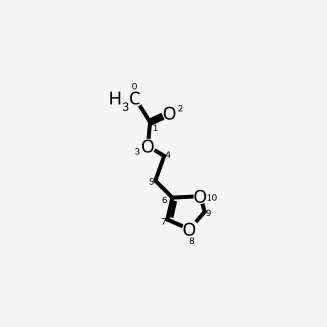 CC(=O)OCCC1=COCO1